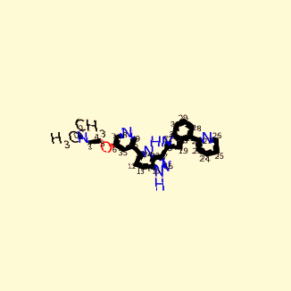 CN(C)CCOc1cncc(-c2ccc3[nH]nc(-c4cc5c(-c6ccccn6)cccc5[nH]4)c3n2)c1